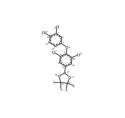 CCc1cc(Oc2c(Cl)cc(B3OC(C)(C)C(C)(C)O3)cc2Cl)nnc1Cl